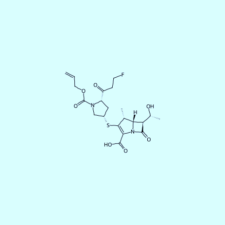 C=CCOC(=O)N1C[C@@H](SC2=C(C(=O)O)N3C(=O)[C@H]([C@@H](C)O)[C@H]3[C@H]2C)C[C@H]1C(=O)CCF